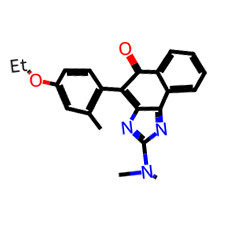 CCOc1ccc(C2=C3N=C(N(C)C)N=C3c3ccccc3C2=O)c(C)c1